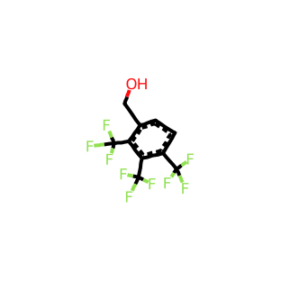 OCc1ccc(C(F)(F)F)c(C(F)(F)F)c1C(F)(F)F